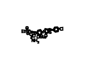 CCS(=O)(=O)C[C@H](COc1ccc(N2Cc3cc(-c4ccc(Cl)cc4)sc3C2=O)cc1OC)OC(=O)CN